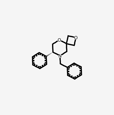 c1ccc(CN2CC3(COC3)OC[C@H]2c2ccccc2)cc1